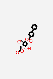 O=C[C@@H]1[C@@H](CC2OC2=O)[C@@H](O)C[C@H]1OC(=O)c1ccc(-c2ccccc2)cc1